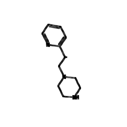 [CH](CN1CCNCC1)c1ccccn1